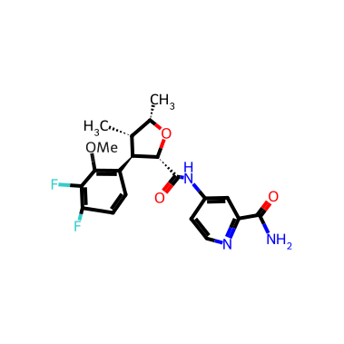 COc1c([C@H]2[C@H](C)[C@H](C)O[C@@H]2C(=O)Nc2ccnc(C(N)=O)c2)ccc(F)c1F